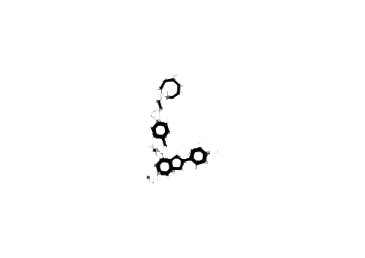 COc1ccc(C2Cc3cc(OC)cc(N(C)Cc4ccc(OCCN5CCCCCC5)cc4)c3C2)cc1